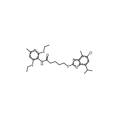 CCSc1cc(C)nc(SCC)c1NC(=O)CCCCSc1nc2c(C)c(Cl)cc(C(C)C)c2o1